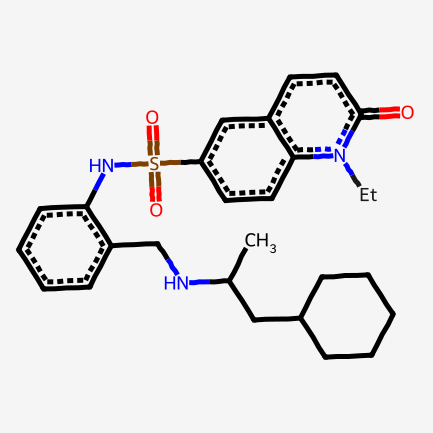 CCn1c(=O)ccc2cc(S(=O)(=O)Nc3ccccc3CNC(C)CC3CCCCC3)ccc21